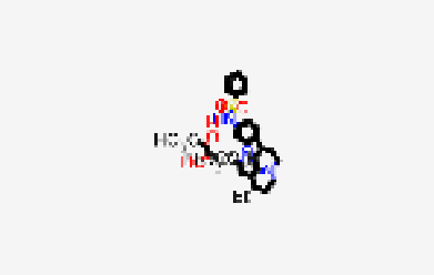 CCOC(=O)C1=CC2C3=C4C(CCN3CC[C@@H]2CC)c2ccc(NS(=O)(=O)c3ccccc3)cc2N14.O=C(O)C(O)C(O)C(=O)O